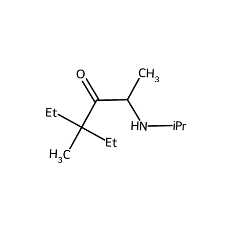 CCC(C)(CC)C(=O)C(C)NC(C)C